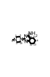 CN1CCN(c2nc(N)c3c(n2)CCCC3)CC1